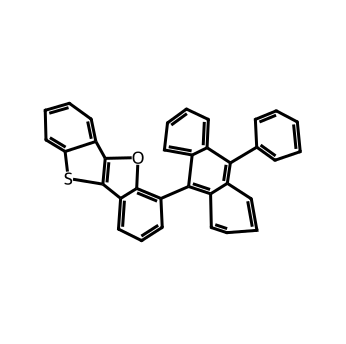 c1ccc(-c2c3ccccc3c(-c3cccc4c3oc3c5ccccc5sc43)c3ccccc23)cc1